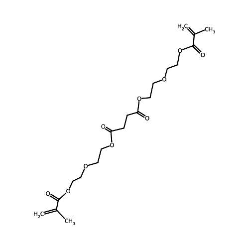 C=C(C)C(=O)OCCOCCOC(=O)CCC(=O)OCCOCCOC(=O)C(=C)C